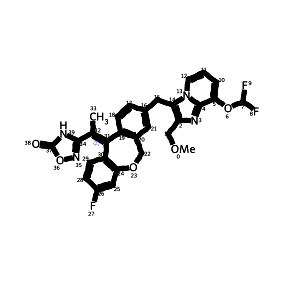 COCc1nc2c(OC(F)F)cccn2c1Cc1ccc2c(c1)COc1cc(F)ccc1/C2=C(/C)c1noc(=O)[nH]1